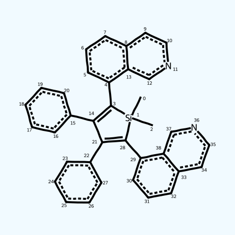 C[Si]1(C)C(c2cccc3ccncc23)=C(c2ccccc2)C(c2ccccc2)=C1c1cccc2ccncc12